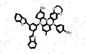 Cc1cc2c3c(c1)N(c1ccc(C(C)(C)C)cc1)c1cc4c(cc1B3c1cc(C(C)(C)C)ccc1N2c1cc(-c2cc3ccccc3o2)cc(-c2cc3ccccc3o2)c1)OCCCO4